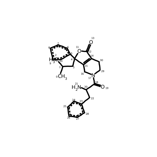 CC(C)CC1(c2ccccc2)OC(=O)C2=C1CN(C(=O)C(N)Cc1ccccc1)CC2